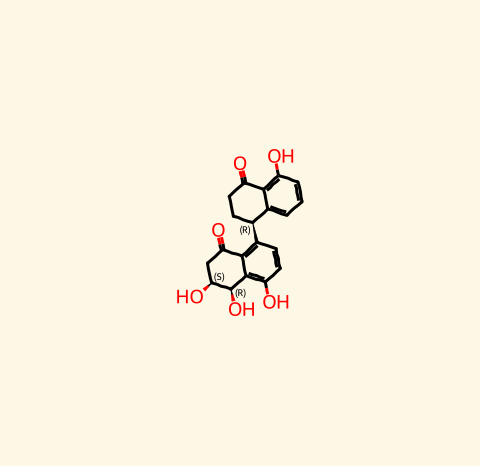 O=C1CC[C@H](c2ccc(O)c3c2C(=O)C[C@H](O)[C@@H]3O)c2cccc(O)c21